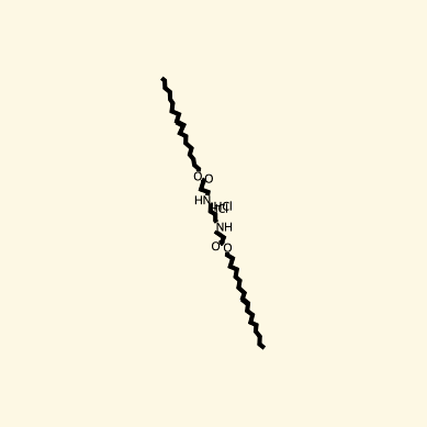 CCCCCCCCC=CCCCCCCCCOC(=O)CCNCCCCNCCC(=O)OCCCCCCCCC=CCCCCCCCC.Cl.Cl